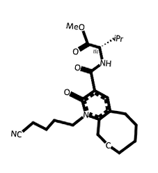 COC(=O)[C@@H](NC(=O)c1cc2c(n(CCCCC#N)c1=O)CCCCCC2)C(C)C